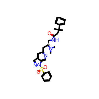 CN(C)[C@H](CNC(=O)CC(C)(C)c1ccccc1)Cc1cc2cnn(S(=O)(=O)c3ccccc3)c2cn1